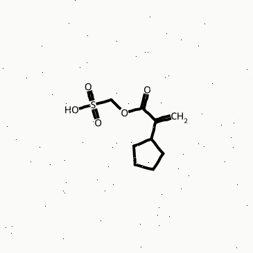 C=C(C(=O)OCS(=O)(=O)O)C1CCCC1